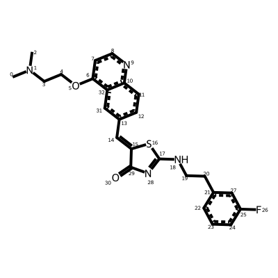 CN(C)CCOc1ccnc2ccc(/C=C3\SC(NCCc4cccc(F)c4)=NC3=O)cc12